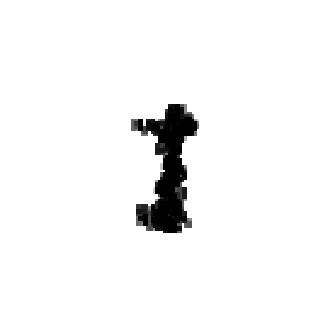 COC[C@H]1C[C@@H](c2ncc(-c3ccc4c(c3)COc3cc5c(ccc6nc([C@@H]7CC[C@H](C)N7C(=O)[C@@H](NC(=O)O)C(C)C)[nH]c65)cc3-4)[nH]2)N(C(=O)[C@H](NC(=O)OC)c2ccccc2)C1